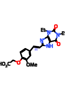 CCn1c(=O)c2[nH]c(/C=C/c3ccc(OCC(=O)O)c(OC)c3)nc2n(CC)c1=O